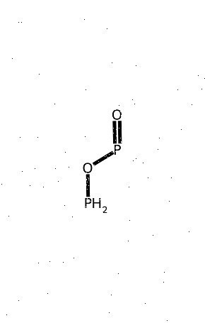 O=POP